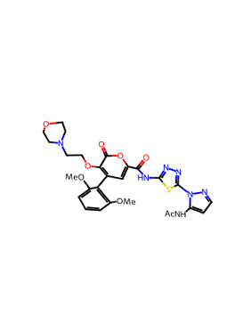 COc1cccc(OC)c1-c1cc(C(=O)Nc2nnc(-n3nccc3NC(C)=O)s2)oc(=O)c1OCCN1CCOCC1